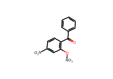 O=C(c1ccccc1)c1ccc([N+](=O)[O-])cc1O[N+](=O)[O-]